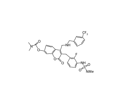 CNS(=O)(=O)Nc1cccc(Cc2c(CNCc3cccc(C(F)(F)F)c3)c3ccc(OC(=O)N(C)C)cc3oc2=O)c1F